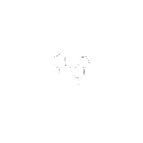 O=C(O)c1cc(-c2ccccc2Cl)c2sccc2c1